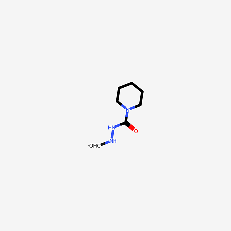 O=[C]NNC(=O)N1CCCCC1